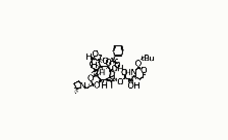 CC(=O)O[C@@]12CO[C@@H]1CC[C@@]1(C)[C@@H]3O[C@H](CN4CC[C@H]4C)O[C@@H]3C3=C(C)[C@@H](OC(=O)[C@H](O)[C@H](CF)NC(=O)OC(C)(C)C)C[C@@](O)([C@@H](OC(=O)c4ccccc4)[C@@H]12)C3(C)C